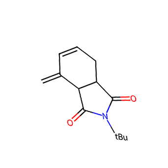 C=C1C=CCC2C(=O)N(C(C)(C)C)C(=O)C12